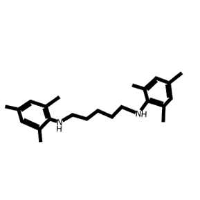 Cc1cc(C)c(NCCCCCNc2c(C)cc(C)cc2C)c(C)c1